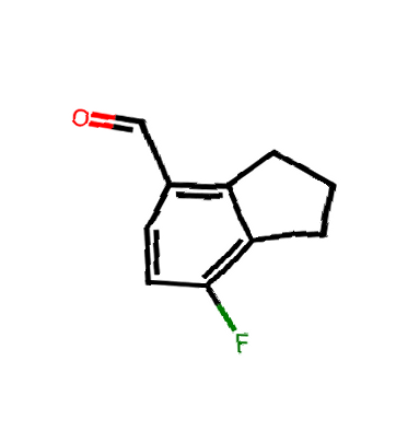 O=Cc1ccc(F)c2c1CCC2